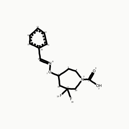 O=C(O)N1CCC(ON=Cc2ccccc2)CC(F)(F)C1